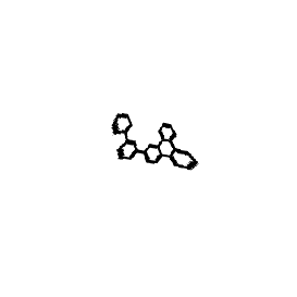 c1ccc(-c2cccc(-c3ccc4c5ccccc5c5ccccc5c4c3)c2)cc1